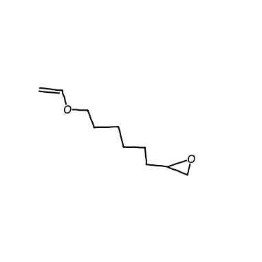 C=COCCCCCCC1CO1